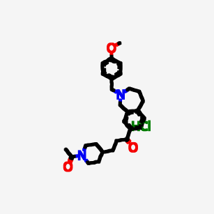 COc1ccc(CN2CCCc3ccc(C(=O)CCC4CCN(C(C)=O)CC4)cc3C2)cc1.Cl